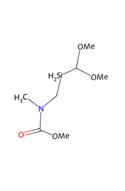 COC(=O)N(C)C[SiH2]C(OC)OC